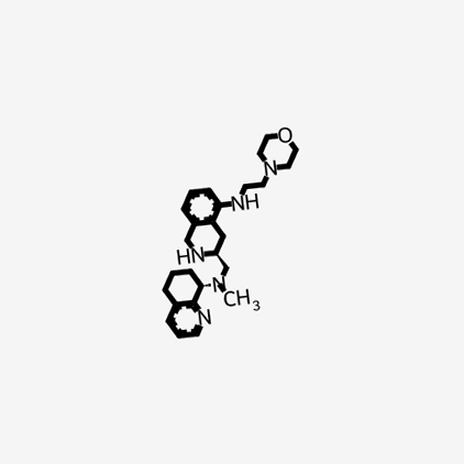 CN(C[C@@H]1Cc2c(cccc2NCCN2CCOCC2)CN1)[C@H]1CCCc2cccnc21